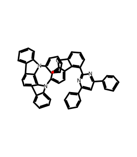 c1ccc(-c2cc(-c3ccccc3)nc(-c3cccc4oc5cc(-n6c7ccccc7c7ccc8c9ccccc9n(-c9ccccc9)c8c76)ccc5c34)n2)cc1